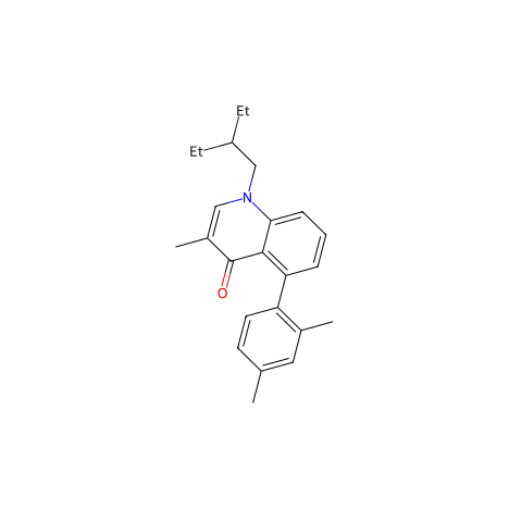 CCC(CC)Cn1cc(C)c(=O)c2c(-c3ccc(C)cc3C)cccc21